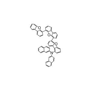 c1ccc2cc(N(c3ccc4ccccc4c3)c3cccc4oc5c(-c6cccc7c6oc6c(-c8cccc9c8oc8ccccc89)cccc67)cccc5c34)ccc2c1